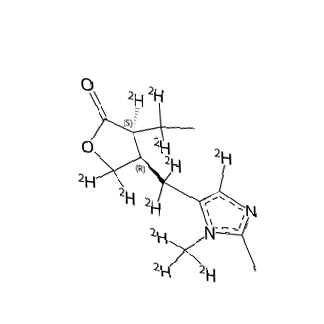 [2H]c1nc(C)n(C([2H])([2H])[2H])c1C([2H])([2H])[C@H]1C([2H])([2H])OC(=O)[C@@]1([2H])C([2H])([2H])C